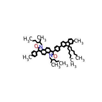 CCCCCCC1(CCCCCC)c2cc(C)ccc2-c2ccc(-c3ccc(C4=c5ccc6c7c(ccc6c5N(CC(CC)CCCC)C4=O)=C(c4ccc(C)cc4)C(=O)N7CC(CC)CCCC)cc3)cc21